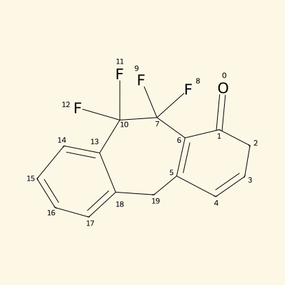 O=C1CC=CC2=C1C(F)(F)C(F)(F)c1ccccc1C2